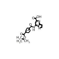 CC(C)(C)OC(=O)C12CCC(C(=O)Nc3cc(C(=O)O)nc4ccnn34)(CC1)CC2